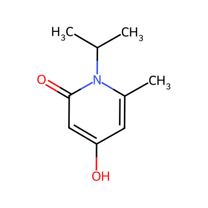 Cc1cc(O)cc(=O)n1C(C)C